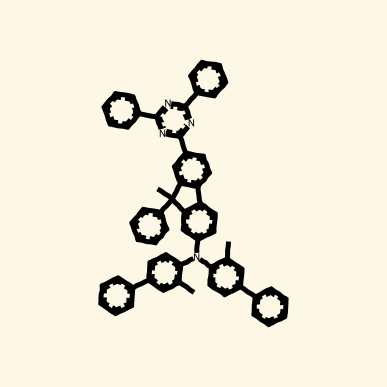 Cc1cc(-c2ccccc2)ccc1N(c1ccc2c(c1)C(C)(c1ccccc1)c1cc(-c3nc(-c4ccccc4)nc(-c4ccccc4)n3)ccc1-2)c1ccc(-c2ccccc2)cc1C